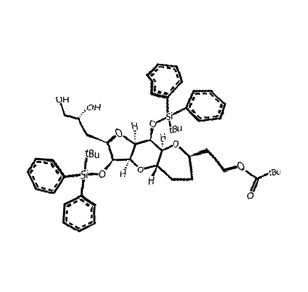 CC(C)(C)C(=O)OCC[C@H]1CC[C@@H]2O[C@@H]3[C@@H](O[C@H](C[C@@H](O)CO)[C@@H]3O[Si](c3ccccc3)(c3ccccc3)C(C)(C)C)[C@@H](O[Si](c3ccccc3)(c3ccccc3)C(C)(C)C)[C@H]2O1